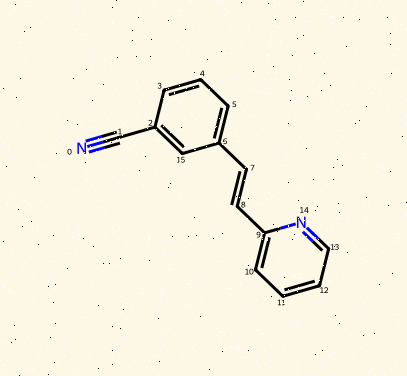 N#Cc1cccc(C=Cc2ccccn2)c1